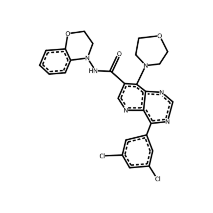 O=C(NN1CCOc2ccccc21)c1cnc2c(-c3cc(Cl)cc(Cl)c3)ncnc2c1N1CCOCC1